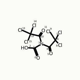 O=C(O)N(C(=O)C(Cl)(Cl)Cl)C(=O)C(Cl)(Cl)Cl